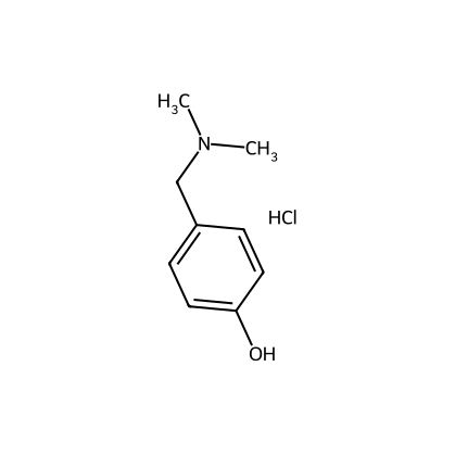 CN(C)Cc1ccc(O)cc1.Cl